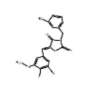 COc1cc(/C=C2\SC(=O)N(Cc3cccc(O)c3)C2=O)cc(F)c1F